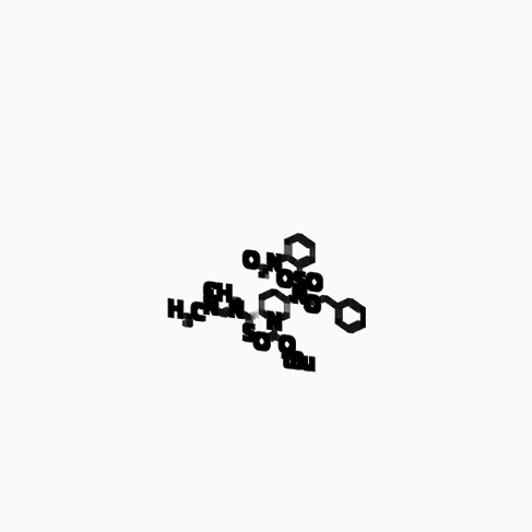 CN(C)/C=N/C(=S)[C@@H]1CC[C@@H](N(OCc2ccccc2)S(=O)(=O)c2ccccc2[N+](=O)[O-])CN1C(=O)OC(C)(C)C